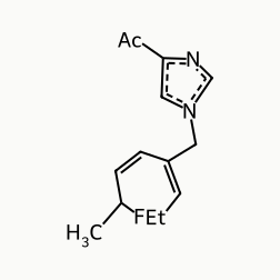 CC/C=C(\C=C/C(C)F)Cn1cnc(C(C)=O)c1